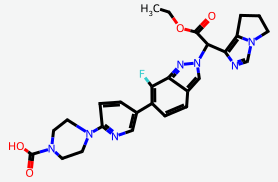 CCOC(=O)C(c1ncn2c1CCC2)n1cc2ccc(-c3ccc(N4CCN(C(=O)O)CC4)nc3)c(F)c2n1